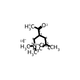 CC(=O)C(CC(C)C)C[N+](C)(C)C.[I-]